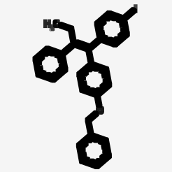 CC/C(=C(\c1ccc(I)cc1)c1ccc(OCc2ccccc2)cc1)c1ccccc1